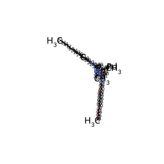 CCCCCCCCCCCCCCCCCCCCCCC/C=C/CCc1ccccc1/N=C(CCCC)\C(CCCCCC)=N\c1ccccc1CC/C=C/CCCCCCCCCCCCCCCCCCCCCCC.[Pd]